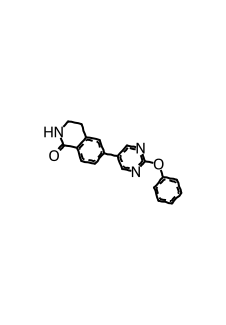 O=C1NCCc2cc(-c3cnc(Oc4ccccc4)nc3)ccc21